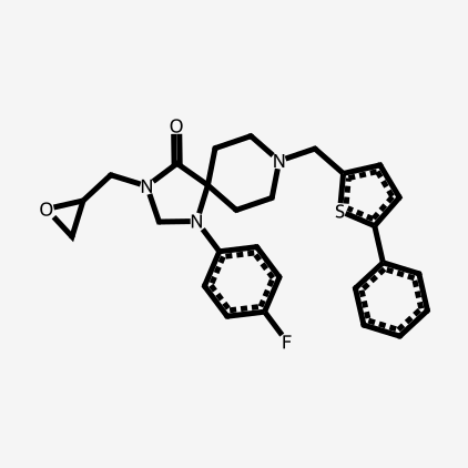 O=C1N(CC2CO2)CN(c2ccc(F)cc2)C12CCN(Cc1ccc(-c3ccccc3)s1)CC2